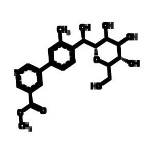 COC(=O)c1cncc(-c2ccc([C@@H](O)[C@H]3OC(CO)[C@@H](O)C(O)C3O)c(C)c2)c1